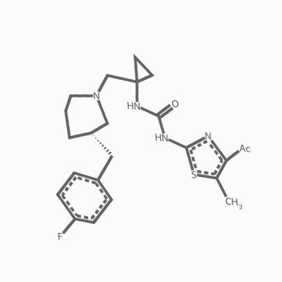 CC(=O)c1nc(NC(=O)NC2(CN3CCC[C@@H](Cc4ccc(F)cc4)C3)CC2)sc1C